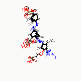 Cc1cc(N)c(OCCCS(=O)(=O)O)cc1N=Nc1ccc(N=Nc2ccc(S(=O)(=O)O)cc2)cc1S(=O)(=O)O